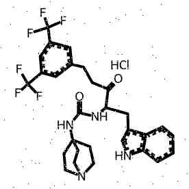 Cl.O=C(NC(Cc1c[nH]c2ccccc12)C(=O)CCc1cc(C(F)(F)F)cc(C(F)(F)F)c1)NC12CCN(CC1)CC2